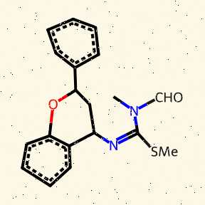 CS/C(=N/C1CC(c2ccccc2)Oc2ccccc21)N(C)C=O